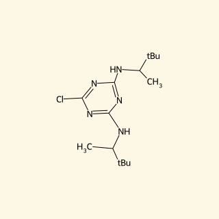 CC(Nc1nc(Cl)nc(NC(C)C(C)(C)C)n1)C(C)(C)C